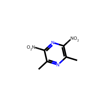 Cc1nc(C)c([N+](=O)[O-])nc1[N+](=O)[O-]